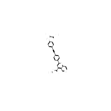 CC(Nc1ccc(C#Cc2ccc(-c3cc(C(=O)NN)c4cnccc4n3)cc2)cc1)C(=O)O